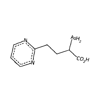 O=C(O)C([AsH2])CCc1ncccn1